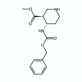 COC(=O)[C@H]1CNCC[C@@H]1NC(=O)OCc1ccccc1